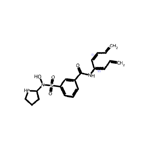 C=C/C=C\C(=C/C=C)NC(=O)c1cccc(S(=O)(=O)N(O)C2CCCP2)c1